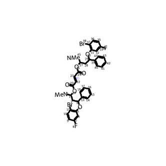 CNC(CC(Oc1cc(F)ccc1Br)c1ccccc1)OC(=O)/C=C/C(=O)OC(CC(Oc1cc(F)ccc1Br)c1ccccc1)NC